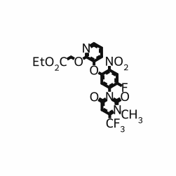 CCOC(=O)COc1ncccc1Oc1cc(-n2c(=O)cc(C(F)(F)F)n(C)c2=O)c(F)cc1[N+](=O)[O-]